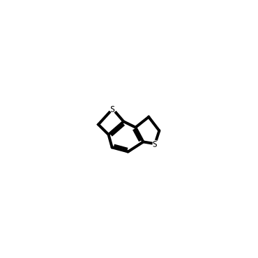 c1cc2c(c3c1CS3)CCS2